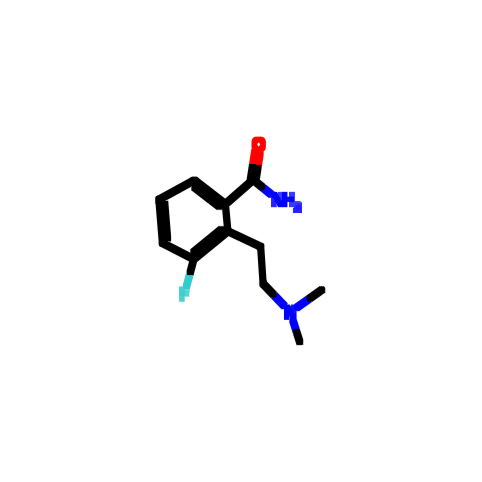 CN(C)CCc1c(F)cccc1C(N)=O